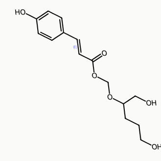 O=C(/C=C/c1ccc(O)cc1)OCOC(CO)CCCO